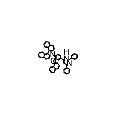 C1=C(c2ccc(-n3c4ccc5ccccc5c4c4c5ccccc5ccc43)c3oc4c5ccccc5ccc4c23)NC(c2ccccc2)N=C1c1ccccc1